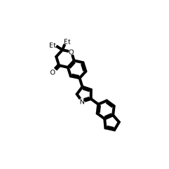 CCC1(CC)CC(=O)c2cc(C3=CC(c4ccc5c(c4)C=CC5)=NC3)ccc2O1